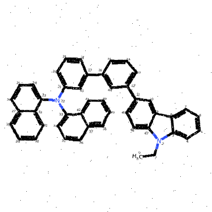 CCn1c2ccccc2c2cc(-c3cccc(-c4cccc(N(c5cccc6ccccc56)c5cccc6ccccc56)c4)c3)ccc21